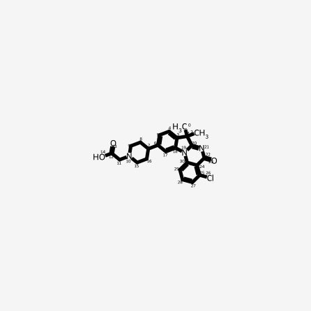 CC1(C)c2ccc(C3CCN(CC(=O)O)CC3)cc2-n2c1nc(=O)c1c(Cl)cccc12